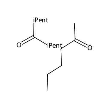 CCCC(C)C(=O)C(C)CCC.CCCCC(C)=O